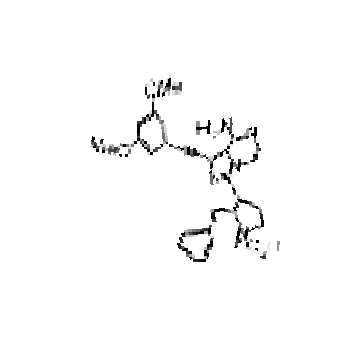 COc1cc(C#Cc2nc(C3CCN(C(=O)O)C3Cc3ccccc3)n3ccnc(N)c23)cc(OC)c1